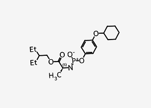 CCC(CC)COC(=O)[C@H](C)N=[P+]([O-])Oc1ccc(OC2CCCCC2)cc1